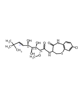 CO[C@@H](C(=O)NC1CSc2cc(Cl)ccc2NC1=O)[C@H](O)[C@@H](O)[C@H](O)/C=C/C(C)(C)C